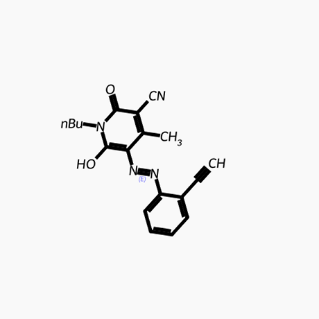 C#Cc1ccccc1/N=N/c1c(C)c(C#N)c(=O)n(CCCC)c1O